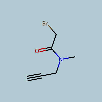 C#CCN(C)C(=O)CBr